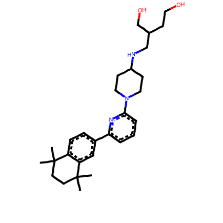 CC1(C)CCC(C)(C)c2cc(-c3cccc(N4CCC(NCC(CO)CCO)CC4)n3)ccc21